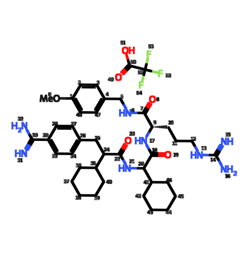 COc1ccc(CNC(=O)[C@H](CCCNC(=N)N)NC(=O)C(NC(=O)C(Cc2ccc(C(=N)N)cc2)C2CCCCC2)C2CCCCC2)cc1.O=C(O)C(F)(F)F